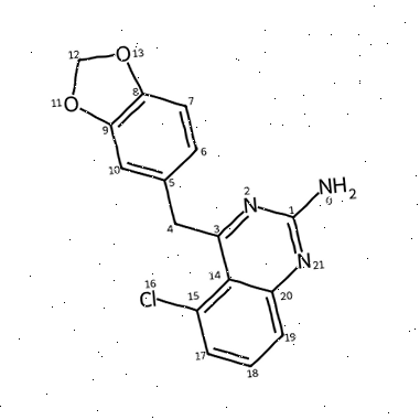 Nc1nc(Cc2ccc3c(c2)OCO3)c2c(Cl)cccc2n1